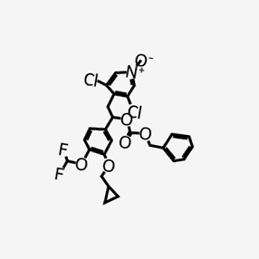 O=C(OCc1ccccc1)OC(Cc1c(Cl)c[n+]([O-])cc1Cl)c1ccc(OC(F)F)c(OCC2CC2)c1